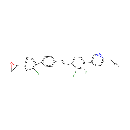 CCc1ccc(-c2ccc(/C=C/c3ccc(-c4ccc(C5CO5)cc4F)cc3)c(F)c2F)cn1